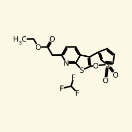 CCOC(=O)Cc1ccc2c3c(sc2n1)OS(=O)(=O)c1ccc-3cc1.FC(F)F